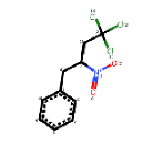 O=[N+]([O-])[C](Cc1ccccc1)CC(Cl)(Cl)Cl